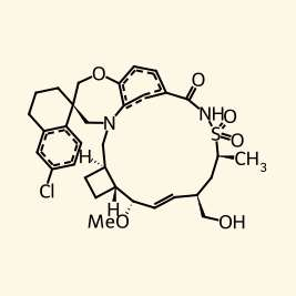 CO[C@H]1/C=C/[C@H](CO)C[C@H](C)S(=O)(=O)NC(=O)c2ccc3c(c2)N(C[C@@H]2CC[C@H]21)C[C@@]1(CCCc2cc(Cl)ccc21)CO3